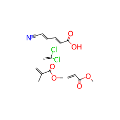 C=C(C)C(=O)OC.C=C(Cl)Cl.C=CC(=O)OC.N#CC=CC=CC(=O)O